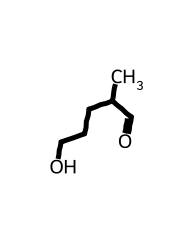 CC(C=O)CCCO